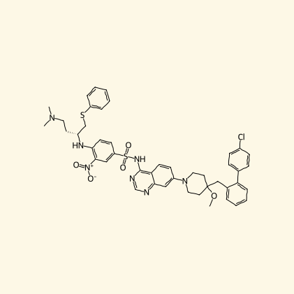 COC1(Cc2ccccc2-c2ccc(Cl)cc2)CCN(c2ccc3c(NS(=O)(=O)c4ccc(N[C@H](CCN(C)C)CSc5ccccc5)c([N+](=O)[O-])c4)ncnc3c2)CC1